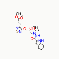 CCN(CC(O)COc1nsnc1CCC(=O)OC)NC(=O)c1cc2ccccc2[nH]1